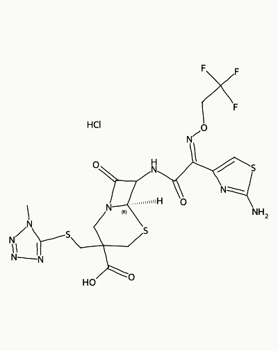 Cl.Cn1nnnc1SCC1(C(=O)O)CS[C@@H]2C(NC(=O)C(=NOCC(F)(F)F)c3csc(N)n3)C(=O)N2C1